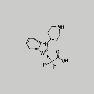 O=C(O)C(F)(F)F.c1ccc2c(c1)ncn2C1CCNCC1